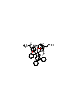 NC(=O)C[C@H](N)C(=O)N(C(=O)C(N)(O)C(O)C(O)CCO)C(Cc1ccccc1)(C(=O)OC(c1ccccc1)c1ccccc1)C(c1ccccc1)(c1ccccc1)c1ccccc1